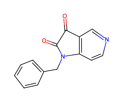 O=C1C(=O)N(Cc2ccccc2)c2ccncc21